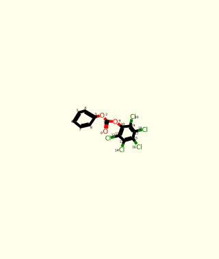 O=C(Oc1ccccc1)Oc1c(Cl)c(Cl)c(Cl)c(Cl)c1Cl